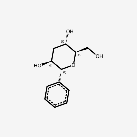 OC[C@H]1O[C@H](c2ccccc2)[C@@H](O)C[C@@H]1O